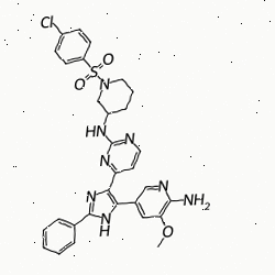 COc1cc(-c2[nH]c(-c3ccccc3)nc2-c2ccnc(NC3CCCN(S(=O)(=O)c4ccc(Cl)cc4)C3)n2)cnc1N